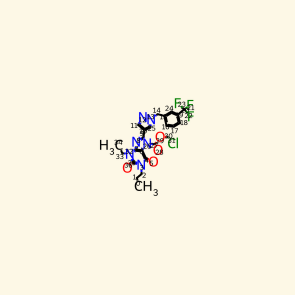 CCCn1c(=O)c2c(nc(-c3cnn(Cc4cccc(C(F)(F)F)c4)c3)n2C(=O)OCCl)n(CC)c1=O